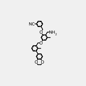 Cc1cc(OCc2cccc(-c3ccc4c(c3)OCCO4)c2C)cc(OCc2cccc(C#N)c2)c1CN